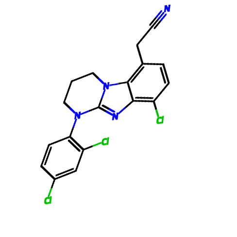 N#CCc1ccc(Cl)c2nc3n(c12)CCCN3c1ccc(Cl)cc1Cl